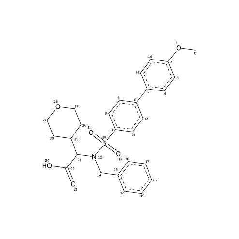 COc1ccc(-c2ccc(S(=O)(=O)N(Cc3ccccc3)C(C(=O)O)C3CCOCC3)cc2)cc1